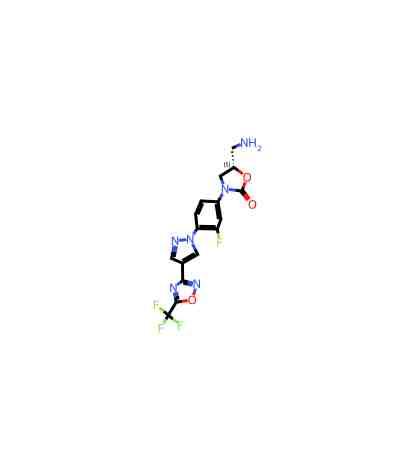 NC[C@H]1CN(c2ccc(-n3cc(-c4noc(C(F)(F)F)n4)cn3)c(F)c2)C(=O)O1